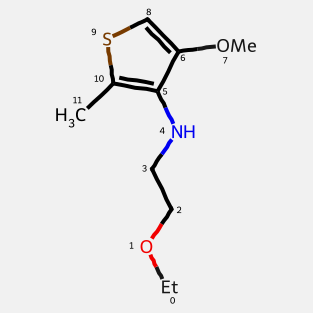 CCOCCNc1c(OC)csc1C